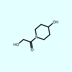 O=C(CO)N1CCC(O)CC1